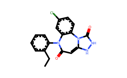 CCc1ccccc1N1C(=O)C=C2NNC(=O)N2c2ccc(Cl)cc21